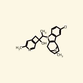 Cc1cc2c(cn1)C(O)(C(C)n1c3c(c4cc(Cl)ccc41)C1CCC(C3)N1C)C2